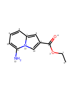 CCOC(=O)c1cc2cccc(N)n2c1